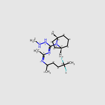 CNN/C(=N\C(C)=N/C(C)CCC(C)(F)F)N1[C@@H]2CCC[C@H]1CC2